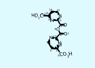 O=C(O)c1ccnc(C(=O)OC(=O)c2nccc(C(=O)O)n2)n1